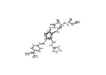 CCN(CC)c1ccc(/C=C/c2nc3c(n2CCN2CCCC2)=CC2N=C(CCC(=O)OC(C)(C)C)C(=O)NC2C=3)cc1